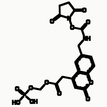 O=C(Cc1cc(=O)oc2ccc(CNC(=O)ON3C(=O)CCC3=O)cc12)OCOP(=O)(O)O